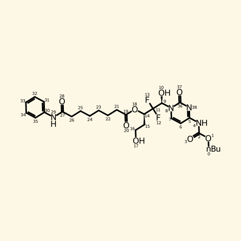 CCCCOC(=O)Nc1ccn([C@H](O)C(F)(F)[C@@H](CCO)OC(=O)CCCCCCC(=O)Nc2ccccc2)c(=O)n1